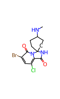 CNC1CCC2(CC1)NC(=O)c1c(Cl)cc(Br)c(=O)n12